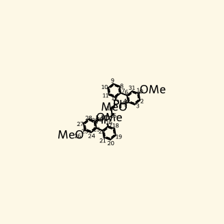 COc1ccc(OC)c(-c2ccccc2PCCPc2ccccc2-c2cc(OC)ccc2OC)c1